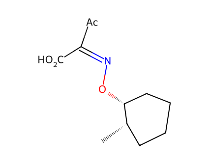 CC(=O)/C(=N/O[C@@H]1CCCC[C@@H]1C)C(=O)O